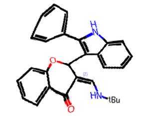 CC(C)(C)N/C=C1\C(=O)c2ccccc2OC1c1c(-c2ccccc2)[nH]c2ccccc12